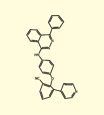 N#Cc1cccc(-c2ccncc2)c1Oc1ccc(Nc2nnc(-c3ccccc3)c3ccccc23)cc1